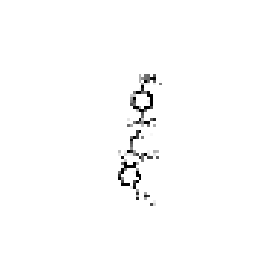 CCn1c(CNS(=O)(=O)c2ccc(N)cc2)nc2ccc(C(F)(F)F)cc21